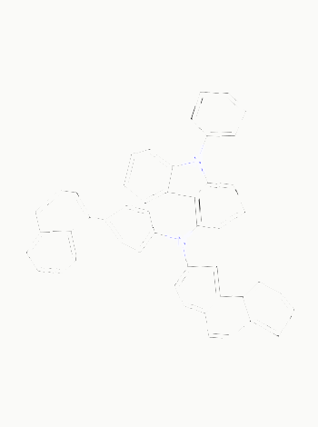 c1ccc(-n2c3ccccc3c3c(N(c4ccc(-c5cccc6ccccc56)cc4)c4ccc5ccc6ccccc6c5c4)cccc32)cc1